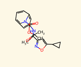 CC(C)(C)OC(=O)N1C2=CC=CC1=CC(NC(=O)c1cc(C3CC3)on1)=C2